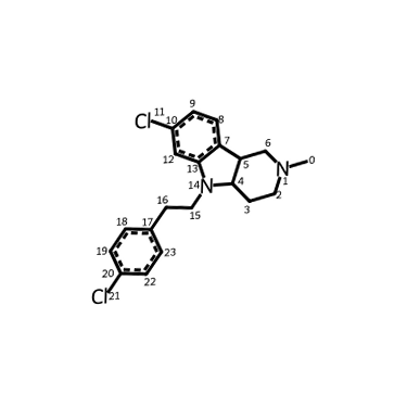 CN1CCC2C(C1)c1ccc(Cl)cc1N2CCc1ccc(Cl)cc1